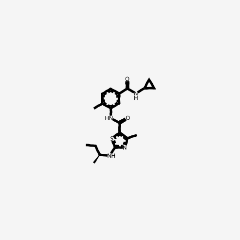 CC[C@H](C)Nc1nc(C)c(C(=O)Nc2cc(C(=O)NC3CC3)ccc2C)s1